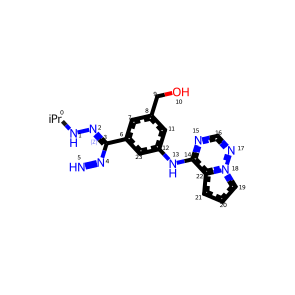 CC(C)N/N=C(\N=N)c1cc(CO)cc(Nc2ncnn3cccc23)c1